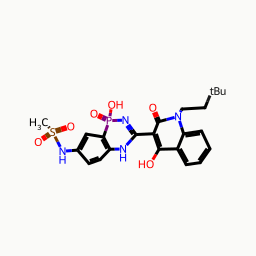 CC(C)(C)CCn1c(=O)c(C2=NP(=O)(O)c3cc(NS(C)(=O)=O)ccc3N2)c(O)c2ccccc21